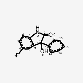 O=C1Nc2ccc(F)cc2C1(O)c1ccccc1